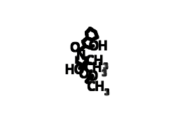 CCC(=O)OCC1(O)CCN(C(=O)C(CO)CC2CCCCC2)CC1(C)C